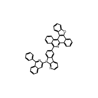 c1ccc(-c2nc(-n3c4ccc(-c5nc6c7ccccc7c7oc8ccccc8c7c6c6ccccc56)cc4c4cccnc43)cc3ccccc23)cc1